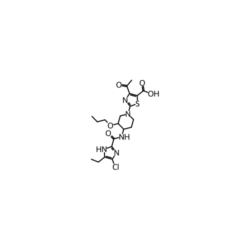 CCCOC1CN(c2nc(C(C)=O)c(C(=O)O)s2)CCC1NC(=O)c1nc(Cl)c(CC)[nH]1